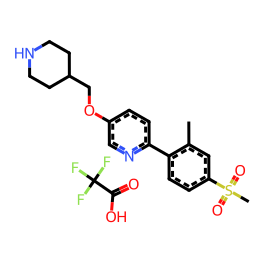 Cc1cc(S(C)(=O)=O)ccc1-c1ccc(OCC2CCNCC2)cn1.O=C(O)C(F)(F)F